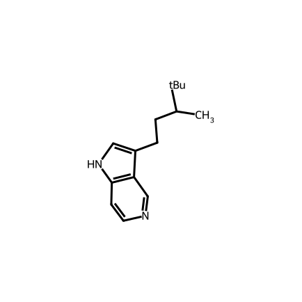 CC(CCc1c[nH]c2ccncc12)C(C)(C)C